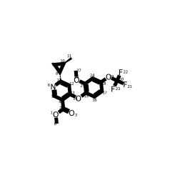 COC(=O)c1cnc([C@@H]2C[C@H]2C)cc1Oc1ccc(OC(F)(F)F)cc1OC